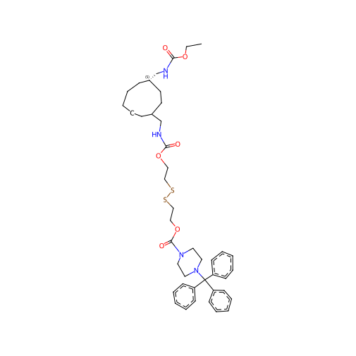 CCOC(=O)NC[C@H]1CCCCCC(CNC(=O)OCCSSCCOC(=O)N2CCN(C(c3ccccc3)(c3ccccc3)c3ccccc3)CC2)CC1